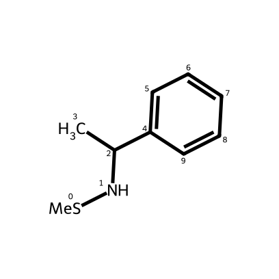 CSNC(C)c1ccccc1